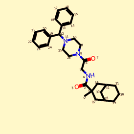 CC1(C(=O)NCC(=O)N2CCN(C(c3ccccc3)c3ccccc3)CC2)CC2CCCC(C2)C1